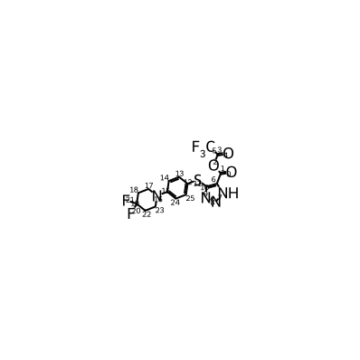 O=C(OC(=O)C(F)(F)F)c1[nH]nnc1Sc1ccc(N2CCC(F)(F)CC2)cc1